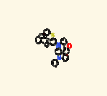 c1ccc(-n2c3ccccc3c3cc(N(c4ccc5c(c4)Sc4ccccc4C54c5ccccc5-c5cccc6cccc4c56)c4cccc5oc6ccccc6c45)ccc32)cc1